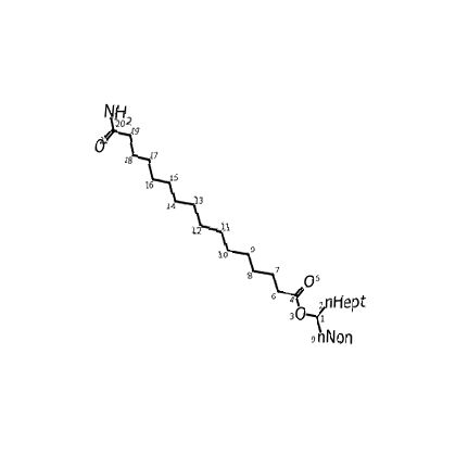 CCCCCCCCCC(CCCCCCC)OC(=O)CCCCCCCCCCCCCCC(N)=O